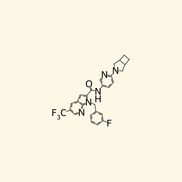 O=C(Nc1ccc(N2CC3CCC3C2)nc1)c1cc2cc(C(F)(F)F)cnc2n1Cc1cccc(F)c1